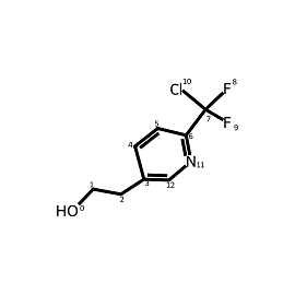 OCCc1ccc(C(F)(F)Cl)nc1